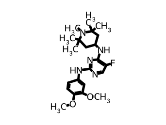 COc1ccc(Nc2ncc(F)c(NC3CC(C)(C)N(C)C(C)(C)C3)n2)cc1OC